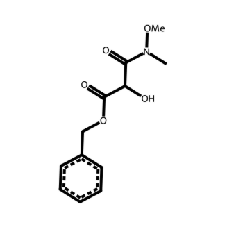 CON(C)C(=O)C(O)C(=O)OCc1ccccc1